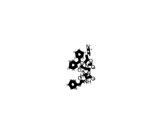 [N-]=[N+]=NCC1CN([C@]2(C(=O)OC(c3ccccc3)c3ccccc3)CN3C(=O)[C@@H](NC(=O)Cc4ccccc4)[C@H]3S2)C(=O)O1